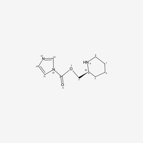 O=C(OC[C@@H]1CCCCN1)n1ccnc1